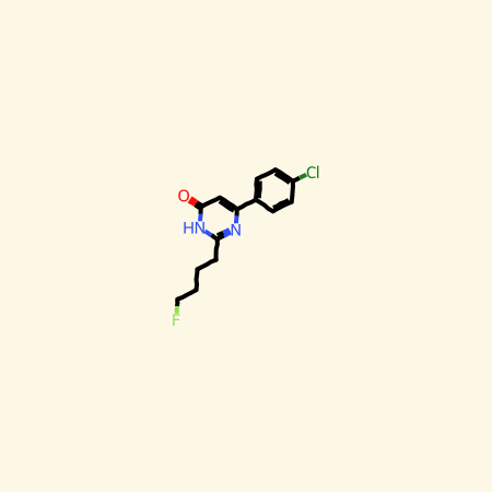 O=c1cc(-c2ccc(Cl)cc2)nc(CCCCF)[nH]1